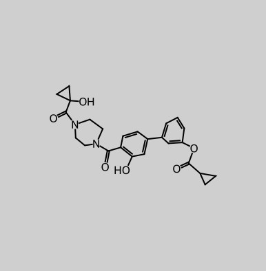 O=C(Oc1cccc(-c2ccc(C(=O)N3CCN(C(=O)C4(O)CC4)CC3)c(O)c2)c1)C1CC1